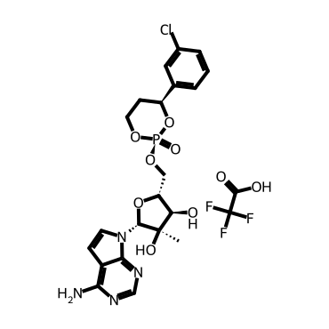 C[C@@]1(O)[C@H](O)[C@@H](CO[P@@]2(=O)OCC[C@@H](c3cccc(Cl)c3)O2)O[C@H]1n1ccc2c(N)ncnc21.O=C(O)C(F)(F)F